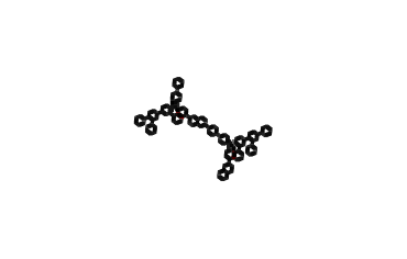 c1ccc(-c2ccc(N(c3ccc(-c4ccc5cc(-c6ccc(-c7ccc(N(c8ccc(-c9ccc%10ccccc%10c9)cc8)c8ccc(-c9ccc(-c%10ccccc%10)cc9-c9ccccc9)cc8-c8ccccc8)cc7)cc6)ccc5c4)cc3)c3ccc(-c4ccc(-c5ccccc5)c(-c5ccccc5)c4)cc3-c3ccccc3)cc2)cc1